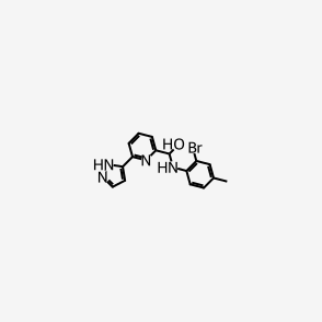 Cc1ccc(NC(O)c2cccc(-c3ccn[nH]3)n2)c(Br)c1